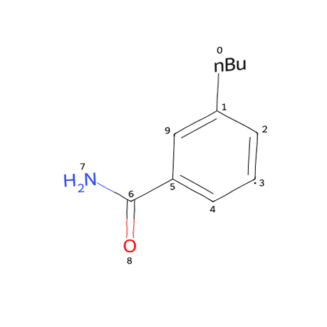 CCCCc1c[c]cc(C(N)=O)c1